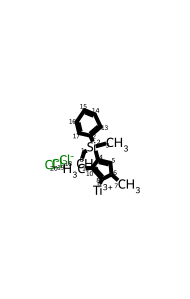 CC[Si](C)(C1=CC(C)[C]([Ti+3])=C1C)c1ccccc1.[Cl-].[Cl-].[Cl-]